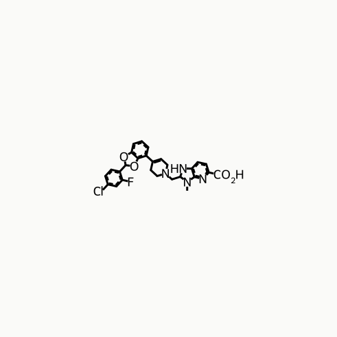 CN1c2nc(C(=O)O)ccc2NC1CN1CC=C(c2cccc3c2OC(c2ccc(Cl)cc2F)O3)CC1